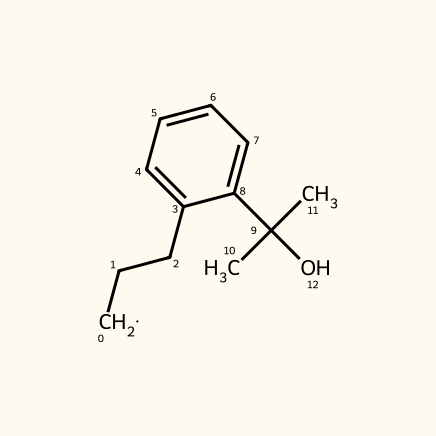 [CH2]CCc1ccccc1C(C)(C)O